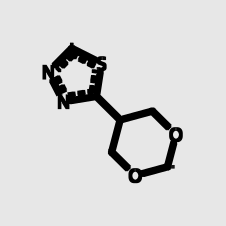 [c]1nnc(C2CO[CH]OC2)s1